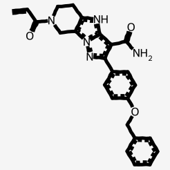 C=CC(=O)N1CCc2[nH]c3c(C(N)=O)c(-c4ccc(OCc5ccccc5)cc4)nn3c2C1